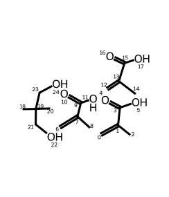 C=C(C)C(=O)O.C=C(C)C(=O)O.C=C(C)C(=O)O.CC(C)(CO)CO